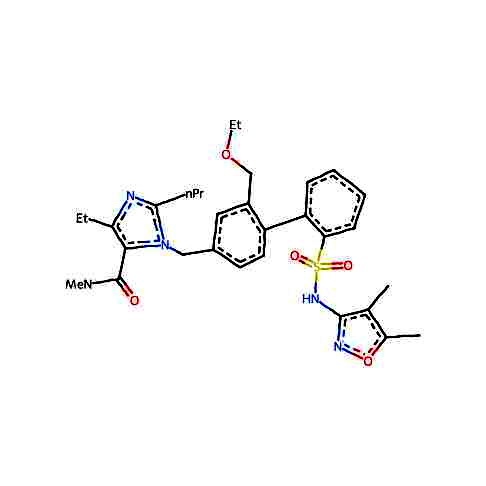 CCCc1nc(CC)c(C(=O)NC)n1Cc1ccc(-c2ccccc2S(=O)(=O)Nc2noc(C)c2C)c(COCC)c1